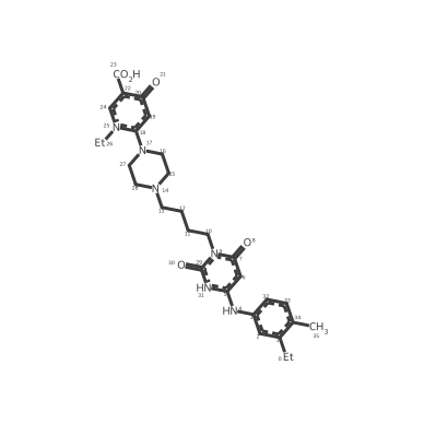 CCc1cc(Nc2cc(=O)n(CCCCN3CCN(c4cc(=O)c(C(=O)O)cn4CC)CC3)c(=O)[nH]2)ccc1C